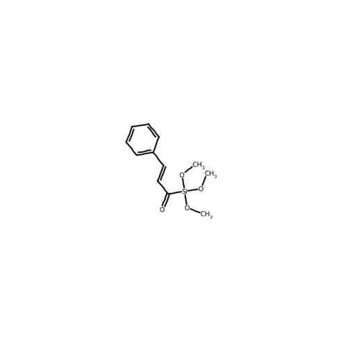 CO[Si](OC)(OC)C(=O)/C=C/c1ccccc1